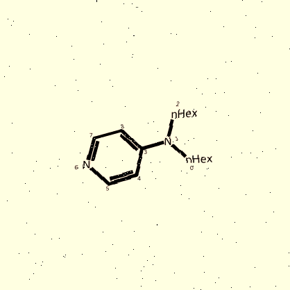 CCCCCCN(CCCCCC)c1ccncc1